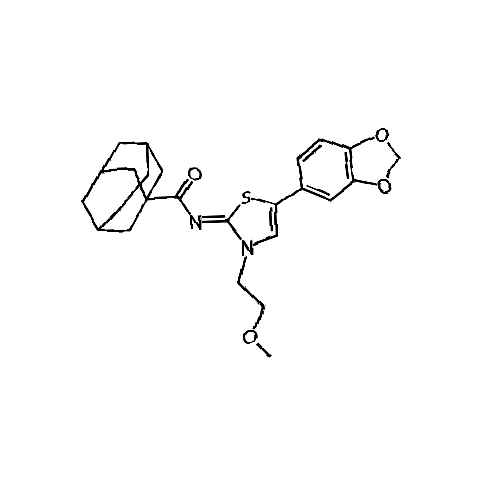 COCCn1cc(-c2ccc3c(c2)OCO3)sc1=NC(=O)C12CC3CC(CC(C3)C1)C2